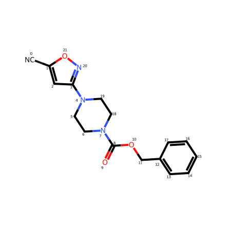 N#Cc1cc(N2CCN(C(=O)OCc3ccccc3)CC2)no1